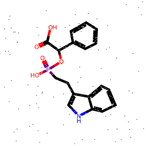 O=C(O)C(OP(=O)(O)CCc1c[nH]c2ccccc12)c1ccccc1